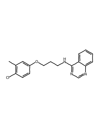 Cc1cc(OCCCNc2ncnc3ccccc23)ccc1Cl